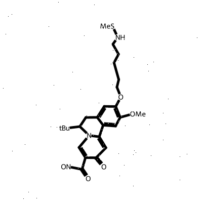 COc1cc2c(cc1OCCCCCNSC)CC(C(C)(C)C)n1cc(C(=O)N=O)c(=O)cc1-2